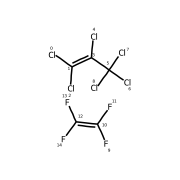 ClC(Cl)=C(Cl)C(Cl)(Cl)Cl.FC(F)=C(F)F